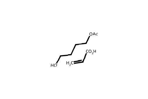 C=CC(=O)O.CC(=O)OCCCCO